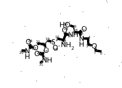 CCOCCNC(=O)[C@H](CO)NC(=O)[C@@H](N)C[S+]([O-])C[C@@H](COC(=O)NC)OC(=O)NC